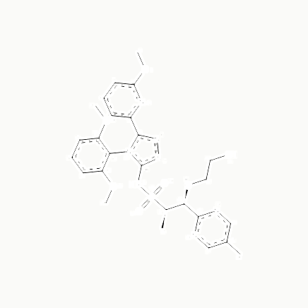 COc1cccc(-c2nnc(NS(=O)(=O)[C@H](C)[C@@H](OCCO)c3ncc(C)cn3)n2-c2c(OC)cccc2OC)n1